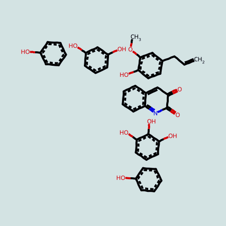 C=CCc1ccc(O)c(OC)c1.O=C1C=c2ccccc2=NC1=O.Oc1cccc(O)c1.Oc1cccc(O)c1O.Oc1ccccc1.Oc1ccccc1